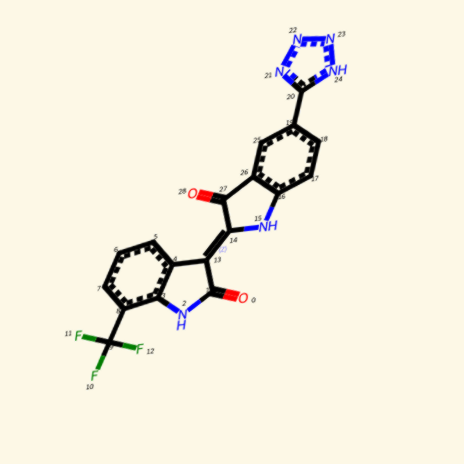 O=C1Nc2c(cccc2C(F)(F)F)/C1=C1/Nc2ccc(-c3nnn[nH]3)cc2C1=O